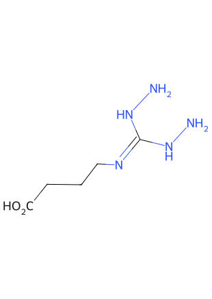 NNC(=NCCCC(=O)O)NN